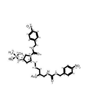 CC(=O)OC(CNC(=O)OCc1ccc([N+](=O)[O-])cc1)CSC[C@@H]1C[C@@H](O[Si](C)(C)C(C)(C)C)CN1C(=O)OCc1ccc([N+](=O)[O-])cc1